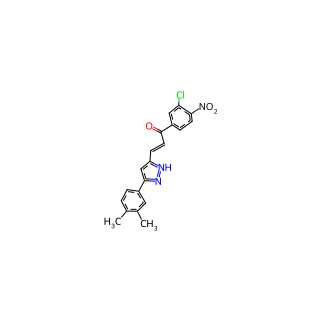 Cc1ccc(-c2cc(C=CC(=O)c3ccc([N+](=O)[O-])c(Cl)c3)[nH]n2)cc1C